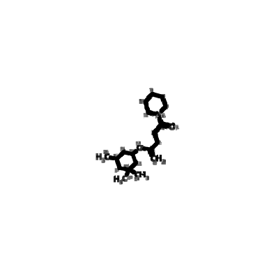 C=C(CCC(=O)N1CCCCC1)OC1CC(C)CC(C)(C)C1